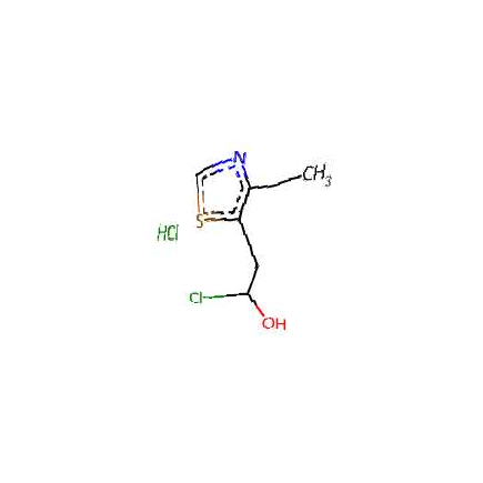 Cc1ncsc1CC(O)Cl.Cl